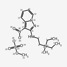 CC[N+](C)(CC)CCNc1nn2ccccc2c1[N+](=O)[O-].COS(=O)(=O)[O-]